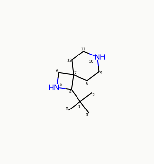 CC(C)(C)C1NCC12CCNCC2